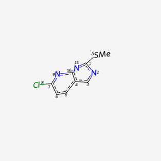 CSc1ncc2ccc(Cl)nc2n1